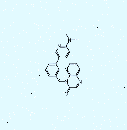 CN(C)c1ccc(-c2cccc(Cn3c(=O)cnc4cccnc43)c2)cn1